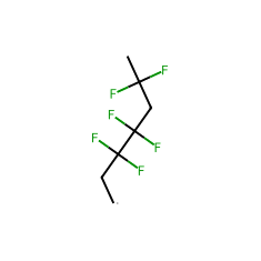 [CH2]CC(F)(F)C(F)(F)CC(C)(F)F